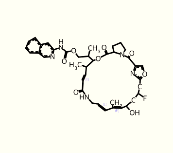 CC1=C\C(O)CC(F)Cc2nc(co2)C(=O)N2CCCC2C(=O)OC(C(C)COC(=O)Nc2cc3ccccc3cn2)C(C)/C=C/C(=O)NC\C=C\1